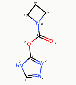 O=C(Oc1nnc[nH]1)N1CCC1